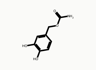 NC(=O)OCc1ccc(O)c(O)c1